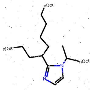 CCCCCCCCCCCCCCC(CCCCCCCCCCCC)c1nccn1C(C)CCCCCCCC